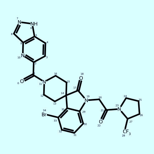 O=C(c1ccc2[nH]ncc2n1)N1CCC2(CC1)C(=O)N(CC(=O)N1CCCC1C(F)(F)F)c1cccc(Br)c12